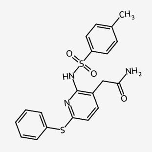 Cc1ccc(S(=O)(=O)Nc2nc(Sc3ccccc3)ccc2CC(N)=O)cc1